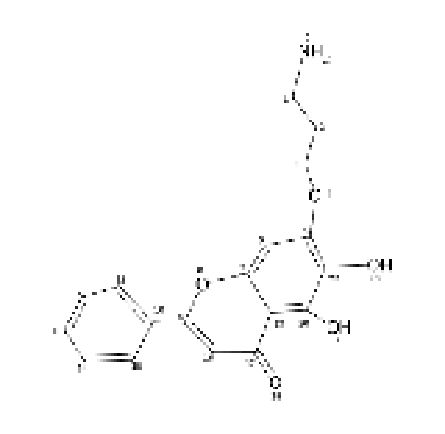 NCCCOc1cc2oc(-c3ccccc3)cc(=O)c2c(O)c1O